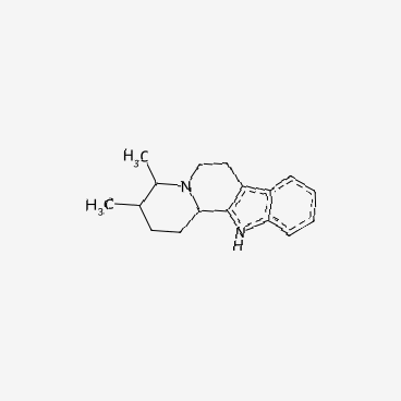 CC1CCC2c3[nH]c4ccccc4c3CCN2C1C